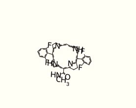 CNC(=O)c1c2nc(c(-c3c(F)cccc3F)c3ccc(cc4nc(c(-c5c(F)cccc5F)c5ccc1[nH]5)CC4)[nH]3)CC2